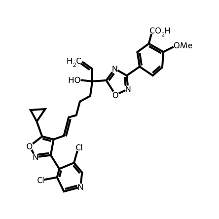 C=CC(O)(CCC/C=C/c1c(-c2c(Cl)cncc2Cl)noc1C1CC1)c1nc(-c2ccc(OC)c(C(=O)O)c2)no1